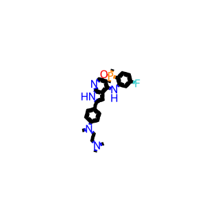 CN(C)CCN(C)c1ccc(-c2cc3c(Nc4cc(F)ccc4P(C)(C)=O)ccnc3[nH]2)cc1